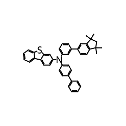 CC1(C)CC(C)(C)c2cc(-c3cccc(N(c4ccc(-c5ccccc5)cc4)c4ccc5c(c4)sc4ccccc45)c3)ccc21